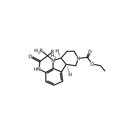 BC1(B)C(=O)Nc2cccc3c2N1[C@H]1CCN(C(=O)OCC)C[C@@H]31